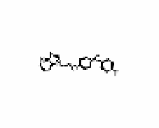 Fc1ccc(Oc2ccc(OCCn3cnc4ncccc43)cc2)cc1